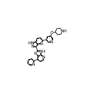 c1ccc(-c2ccnc3[nH]c(-c4n[nH]c5ccc(-c6cncc(OC7CCNCC7)c6)nc45)nc23)nc1